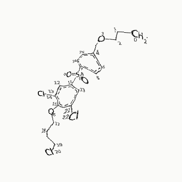 [CH2][CH]COc1ccc(S(=O)(=O)c2cc(Cl)c(OCCCCl)c(Cl)c2)cc1